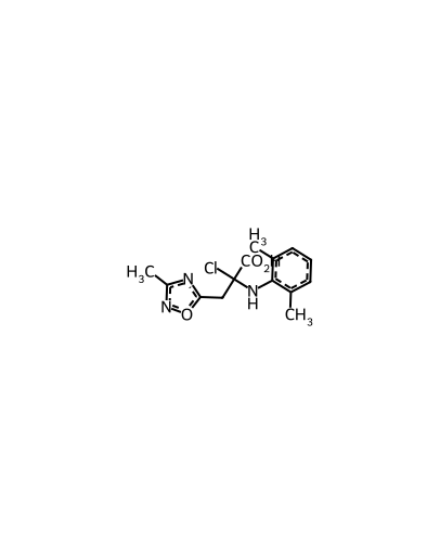 Cc1noc(CC(Cl)(Nc2c(C)cccc2C)C(=O)O)n1